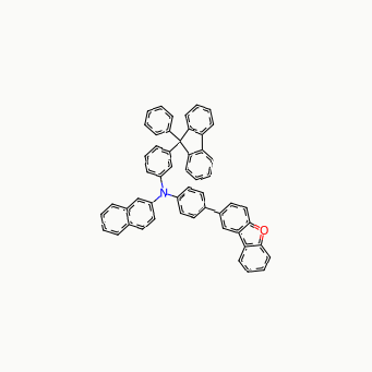 c1ccc(C2(c3cccc(N(c4ccc(-c5ccc6oc7ccccc7c6c5)cc4)c4ccc5ccccc5c4)c3)c3ccccc3-c3ccccc32)cc1